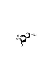 CCCC[C@@H](CC)CN(C[C@@H](CC)CCCC)CC(C)(C)C